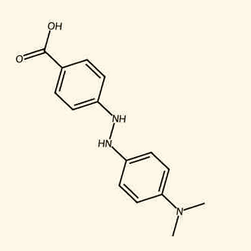 CN(C)c1ccc(NNc2ccc(C(=O)O)cc2)cc1